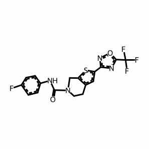 O=C(Nc1ccc(F)cc1)N1CCc2cc(-c3noc(C(F)(F)F)n3)sc2C1